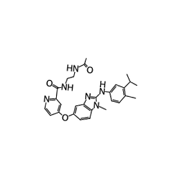 CC(=O)NCCNC(=O)c1cc(Oc2ccc3c(c2)nc(Nc2ccc(C)c(C(C)C)c2)n3C)ccn1